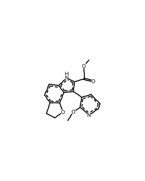 COC(=O)c1[nH]c2ccc3c(c2c1-c1cccnc1OC)OCC3